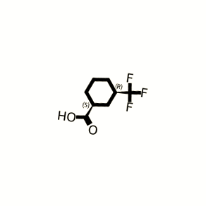 O=C(O)[C@H]1CCC[C@@H](C(F)(F)F)C1